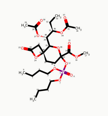 CCCCOP(=O)(OCCCC)OC1(C(=O)OC)CC[C@@]2(CC(=O)O2)C([C@H](OC(C)=O)[C@@H](CC)OC(C)=O)O1